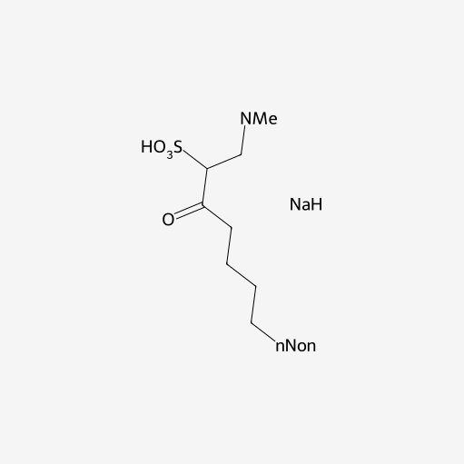 CCCCCCCCCCCCCC(=O)C(CNC)S(=O)(=O)O.[NaH]